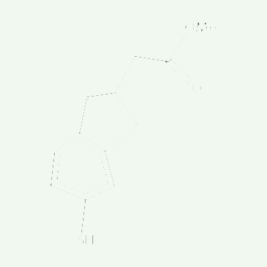 COC(=O)CC1Cc2ccc(S)cc2C1